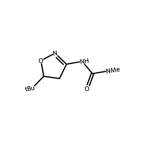 CNC(=O)NC1=NOC(C(C)(C)C)C1